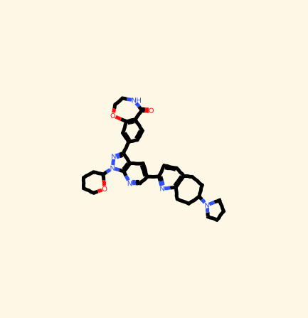 O=C1NCCOc2cc(-c3nn(C4CCCCO4)c4ncc(-c5ccc6c(n5)CCC(N5CCCC5)CC6)cc34)ccc21